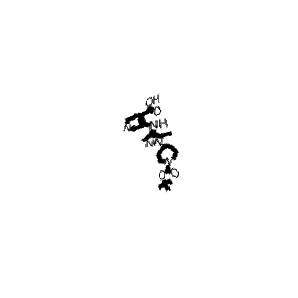 Cc1c(Nc2cnccc2C(=O)O)cnn1[C@H]1CCCN(C(=O)OC(C)(C)C)CC1